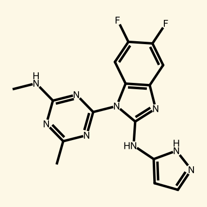 CNc1nc(C)nc(-n2c(Nc3ccn[nH]3)nc3cc(F)c(F)cc32)n1